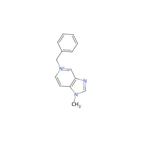 Cn1cnc2c[n+](Cc3ccccc3)ccc21